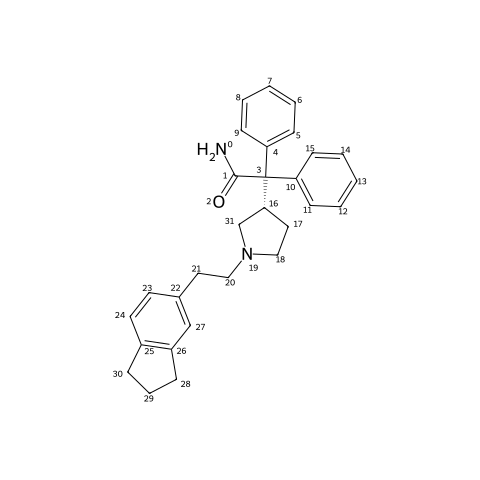 NC(=O)C(c1ccccc1)(c1ccccc1)[C@@H]1CCN(CCc2ccc3c(c2)CCC3)C1